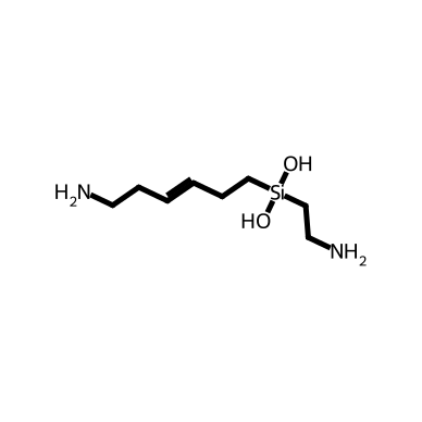 NCCC=CCC[Si](O)(O)CCN